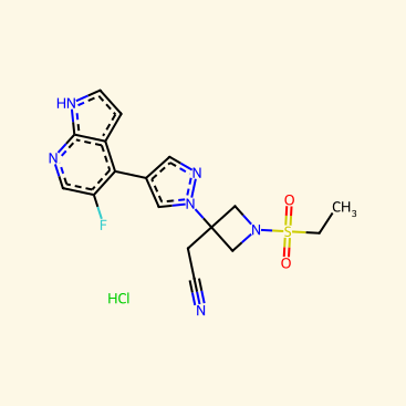 CCS(=O)(=O)N1CC(CC#N)(n2cc(-c3c(F)cnc4[nH]ccc34)cn2)C1.Cl